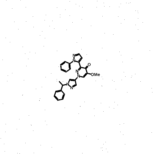 COc1cn(-c2cnn(C(C)c3ccccc3)c2)nc(-c2ccnn2-c2ccccc2)c1=O